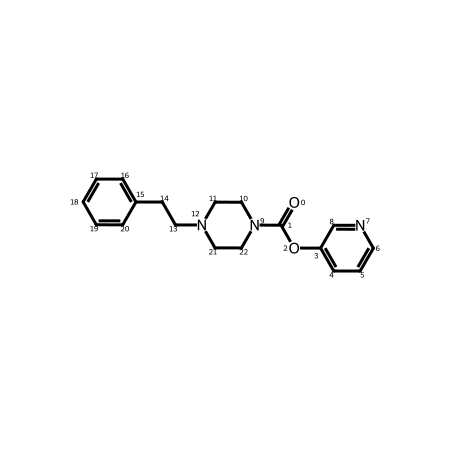 O=C(Oc1cccnc1)N1CCN(CCc2ccccc2)CC1